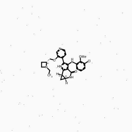 COc1c(Cl)cccc1Nc1c(-c2ccncc2OC[C@H]2CCN2CC(F)(F)F)[nH]c2c1C(=O)N[C@@H]1C[C@H]21